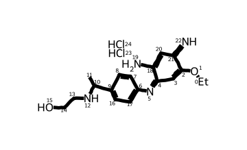 CCOC1=CC(=Nc2ccc(C(C)NCCO)cc2)C(N)=CC1=N.Cl.Cl